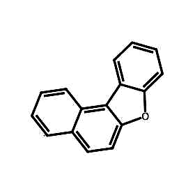 [c]1cccc2c1ccc1oc3ccccc3c12